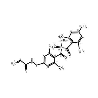 C=CC(=O)NCc1cc(C)c(C(=O)P(=O)(CCCC)C(=O)c2c(C)cc(C)cc2C)c(C)c1